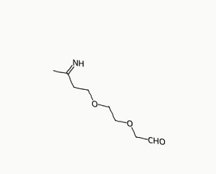 CC(=N)CCOCCOCC=O